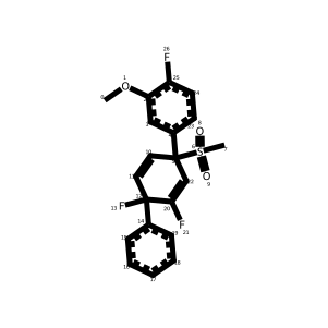 COc1cc(C2(S(C)(=O)=O)C=CC(F)(c3ccccc3)C(F)=C2)ccc1F